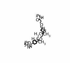 CC(C)Sc1nnc(-c2ccc(C(C)(C)OCCC(C)(C)n3cc(COCCC(=O)N(I)C(C)C)nn3)cc2)o1